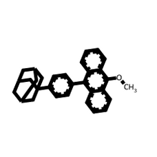 COc1c2ccccc2c(-c2ccc(C34CC5CC(CC(C5)C3)C4)cc2)c2ccccc12